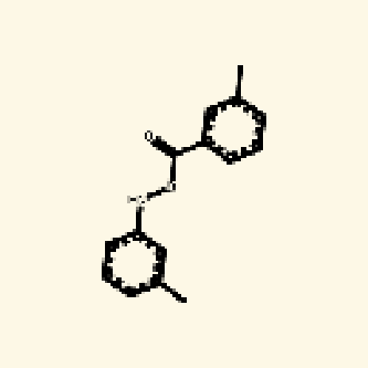 Cc1cccc(NOC(=O)c2cccc(C)c2)c1